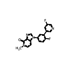 Cn1ccc2c(ncn2-c2ccc(F)c(-c3cncc(F)c3)c2)c1=O